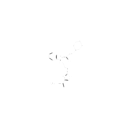 COC(=O)c1coc(CCCC(O)(NC(=O)CCC2CCCCC2)c2ccccc2)n1